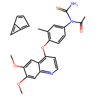 COc1cc2nccc(Oc3ccc(N(C(C)=O)C(N)=S)cc3C)c2cc1OC.c1cc2cc-2c1